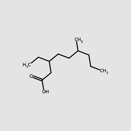 CCCC(C)CCC(CC)CC(=O)O